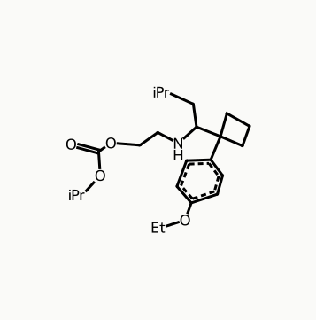 CCOc1ccc(C2(C(CC(C)C)NCCOC(=O)OC(C)C)CCC2)cc1